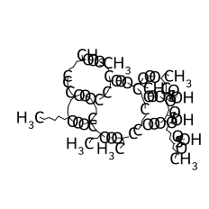 CCCCCCC1CCCC2CCCCCCCC(C)OOOC(C)CCC3CCCCC(CCCC(CCC(CCC)OOOC(CC)CCCCC4CCCC5CCC(OOO3)C(CC)OOOC(CC)CCC(S(=O)(=O)O)C(CCC(S(=O)(=O)O)C(CCCCC(CCC)S(=O)(=O)O)OOO4)OOO5)OOO1)OOO2